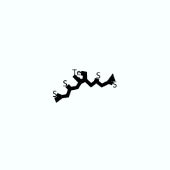 S=C(Cc1c[te]cc1CC(=S)CC1CS1)CC1CS1